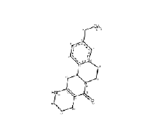 CCc1ccc2c(c1)CCN1C(=O)C3=C(CC21)NCCC3